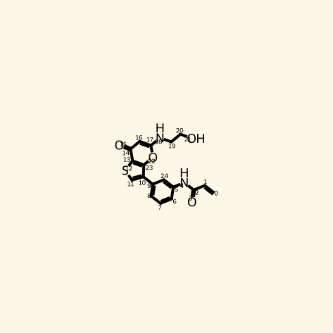 C=CC(=O)Nc1cccc(-c2csc3c(=O)cc(NCCO)oc23)c1